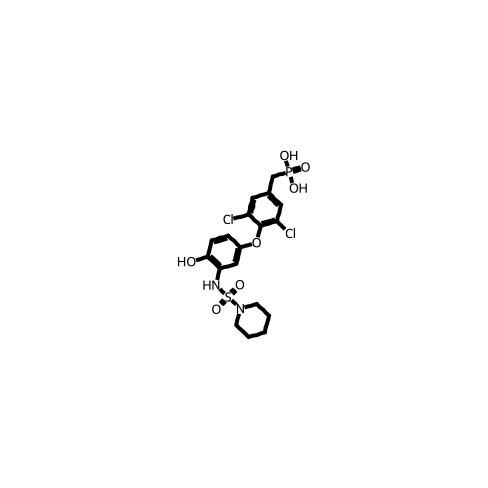 O=P(O)(O)Cc1cc(Cl)c(Oc2ccc(O)c(NS(=O)(=O)N3CCCCC3)c2)c(Cl)c1